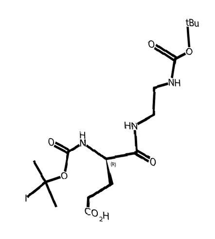 CC(C)(C)OC(=O)NCCNC(=O)[C@@H](CCC(=O)O)NC(=O)OC(C)(C)I